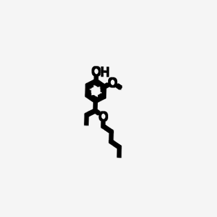 CCCCCOC(CC)c1ccc(O)c(OC)c1